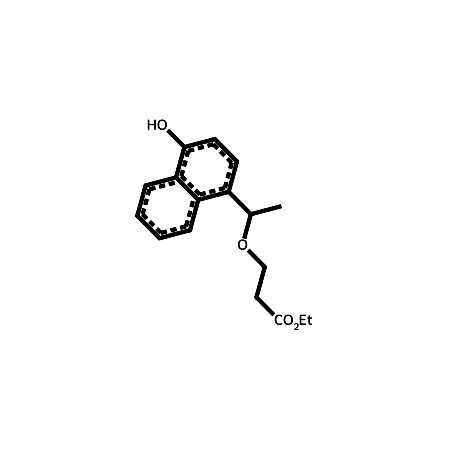 CCOC(=O)CCOC(C)c1ccc(O)c2ccccc12